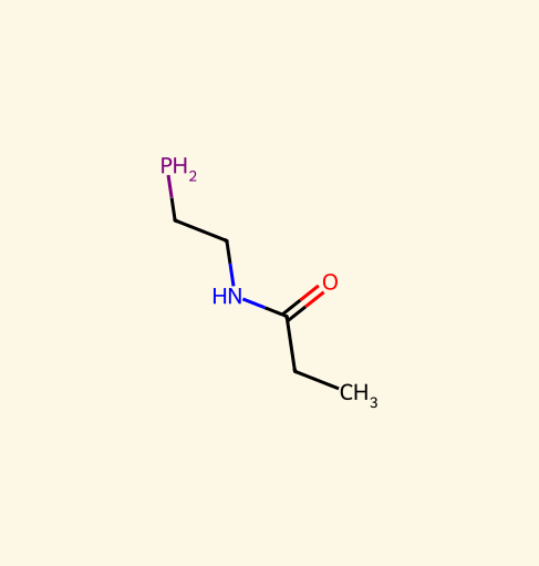 CCC(=O)NCCP